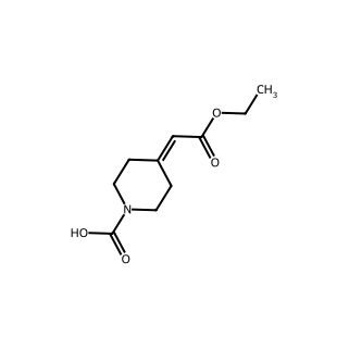 CCOC(=O)C=C1CCN(C(=O)O)CC1